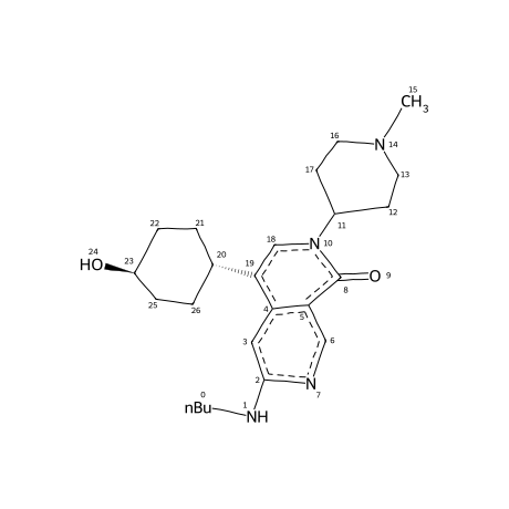 CCCCNc1cc2c(cn1)c(=O)n(C1CCN(C)CC1)cc2[C@H]1CC[C@H](O)CC1